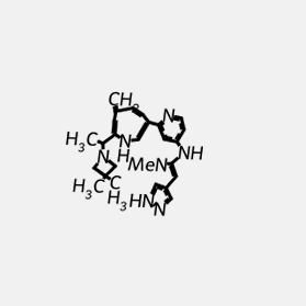 C=C1/C=C\C(c2cc(N/C(=C/c3cn[nH]c3)NC)ccn2)=C/N/C(C(C)N2CC(C)(C)C2)=C\1